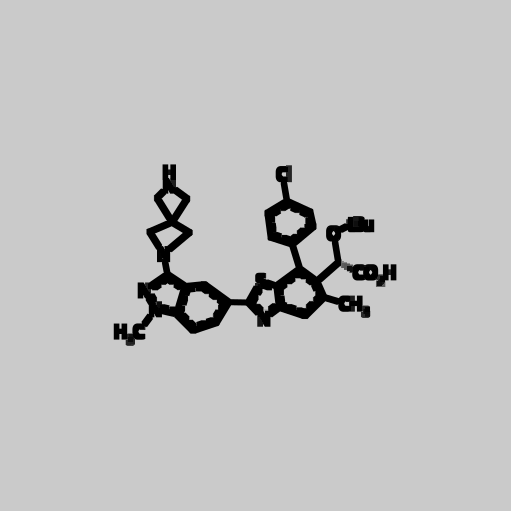 Cc1cc2nc(-c3ccc4c(c3)c(N3CC5(CNC5)C3)nn4C)sc2c(-c2ccc(Cl)cc2)c1[C@H](OC(C)(C)C)C(=O)O